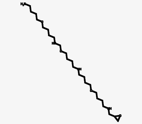 NCCCCOCCCCNCOCCCCNCCCCOCCCCNCC1CO1